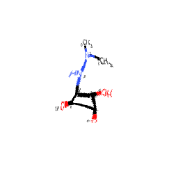 CN(C)Nc1c(O)c(=O)c1=O